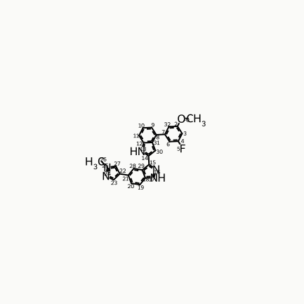 COc1cc(F)cc(-c2cccc3[nH]c(-c4n[nH]c5ccc(-c6cnn(C)c6)cc45)cc23)c1